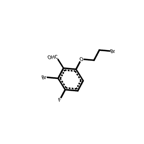 O=Cc1c(OCCBr)ccc(F)c1Br